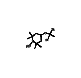 CCC(C)(CC)OC1CC(C)(C)N(O)C(C)(C)C1